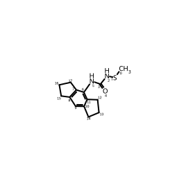 CSNC(=O)Nc1c2c(cc3c1CCC3)CCC2